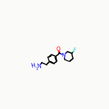 NCCc1ccc(C(=O)N2CCCC(F)C2)cc1